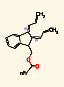 C=C/C=C1\C(=C/C=C)c2ccccc2C1COC(=O)CCC